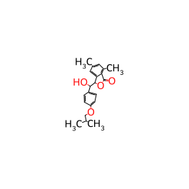 Cc1cc(C)c2c(c1)C(C(O)c1ccc(OCC(C)C)cc1)OC2=O